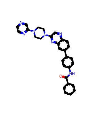 O=C(Nc1ccc(-c2ccc3ncc(N4CCN(c5cnccn5)CC4)nc3c2)cc1)c1ccccc1